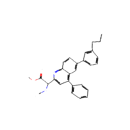 CCCc1cccc(-c2ccc3nc(C(NC)C(=O)OC)cc(-c4ccccc4)c3c2)c1